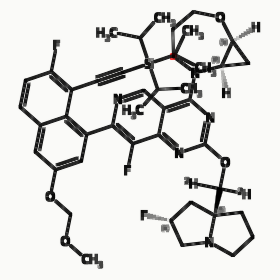 [2H]C([2H])(Oc1nc(N2CCCO[C@H]3C[C@H]32)c2cnc(-c3cc(OCOC)cc4ccc(F)c(C#C[Si](C(C)C)(C(C)C)C(C)C)c34)c(F)c2n1)[C@@]12CCCN1C[C@H](F)C2